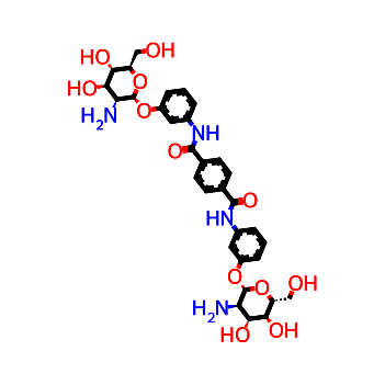 N[C@H]1[C@H](Oc2cccc(NC(=O)c3ccc(C(=O)Nc4cccc(O[C@@H]5O[C@H](CO)[C@@H](O)[C@H](O)[C@H]5N)c4)cc3)c2)O[C@H](CO)[C@@H](O)[C@@H]1O